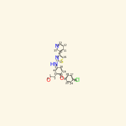 O=CCc1cc(Nc2nc(-c3cccnc3)cs2)ccc1Oc1ccc(Cl)cc1